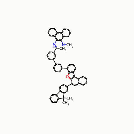 C=Nc1c(/N=C(\C)c2cccc(-c3cccc(-c4cccc5c4oc4c(-c6ccc7c(c6)C(C)(C)c6ccccc6-7)cc6ccccc6c45)c3)c2)c2ccccc2c2ccccc12